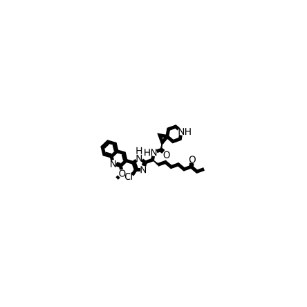 CCC(=O)CCCCC[C@H](NC(=O)[C@H]1CC12CCNCC2)c1nc(Cl)c(-c2cc3ccccc3nc2OC)[nH]1